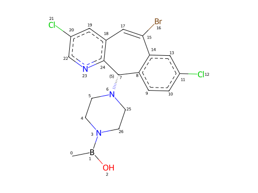 CB(O)N1CCN([C@H]2c3ccc(Cl)cc3C(Br)=Cc3cc(Cl)cnc32)CC1